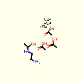 CC(=O)O.CC(=O)O.CC(=O)O.CC(O)NCCN.[NaH].[NaH].[NaH]